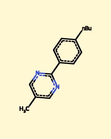 CCCCc1ccc(-c2ncc(C)cn2)cc1